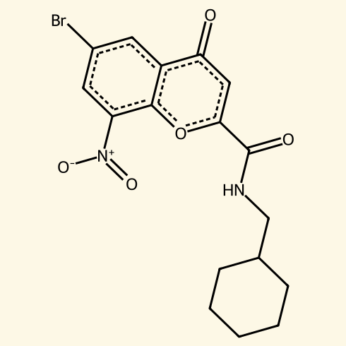 O=C(NCC1CCCCC1)c1cc(=O)c2cc(Br)cc([N+](=O)[O-])c2o1